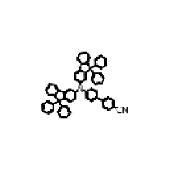 N#Cc1ccc(-c2ccc(N(c3ccc4c(c3)-c3ccccc3C4(c3ccccc3)c3ccccc3)c3ccc4c(c3)C(c3ccccc3)(c3ccccc3)c3ccccc3-4)cc2)cc1